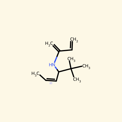 C=CC(=C)NC(/C=C\C)C(C)(C)C